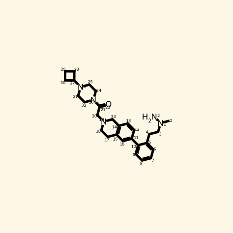 CN(N)CCc1ccccc1-c1ccc2c(c1)CCN(CC(=O)N1CCN(C3CCC3)CC1)C2